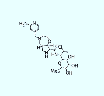 CSC1O[C@H]([C@H](NC(=O)[C@H]2NC[C@@H]3CN(Cc4ccnc(N)c4)CCO[C@H]32)[C@H](C)Cl)C(O)C(O)[C@H]1O